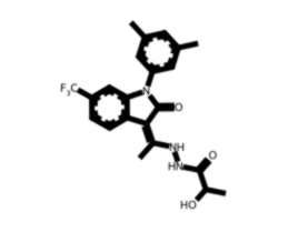 C/C(NNC(=O)C(C)O)=C1/C(=O)N(c2cc(C)cc(C)c2)c2cc(C(F)(F)F)ccc21